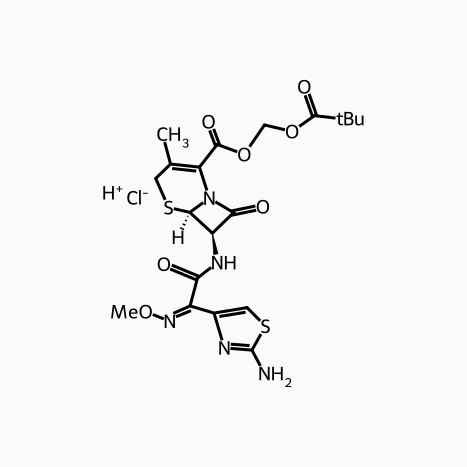 CO/N=C(\C(=O)N[C@@H]1C(=O)N2C(C(=O)OCOC(=O)C(C)(C)C)=C(C)CS[C@H]12)c1csc(N)n1.[Cl-].[H+]